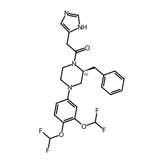 O=C(Cc1cnc[nH]1)N1CCN(c2ccc(OC(F)F)c(OC(F)F)c2)C[C@@H]1Cc1ccccc1